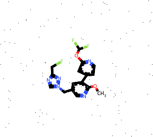 COc1ncc(Cn2cnc(CF)n2)cc1-c1ccnc(OC(F)F)c1